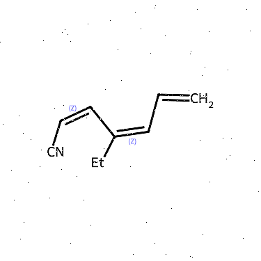 C=C/C=C(\C=C/C#N)CC